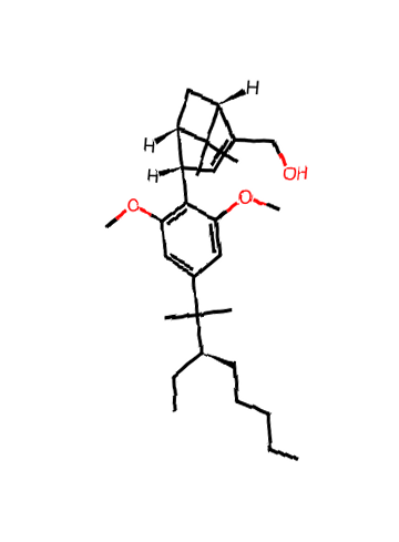 CCCCC[C@@H](CC)C(C)(C)c1cc(OC)c([C@H]2C=C(CO)[C@H]3C[C@@H]2C3(C)C)c(OC)c1